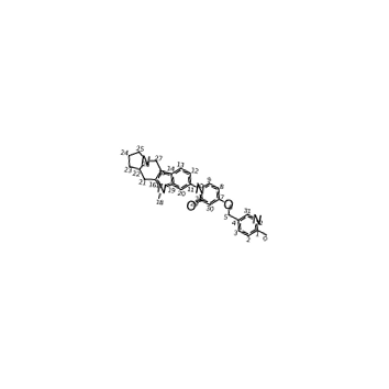 Cc1ccc(COc2ccn(-c3ccc4c5c(n(C)c4c3)CC3CCCN3C5)c(=O)c2)cn1